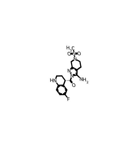 CS(=O)(=O)N1CCc2c(nn(C(=O)[C@H]3CCNc4ccc(F)cc43)c2N)C1